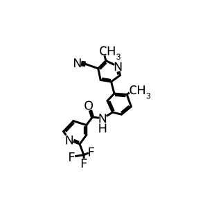 Cc1ccc(NC(=O)c2ccnc(C(F)(F)F)c2)cc1-c1cnc(C)c(C#N)c1